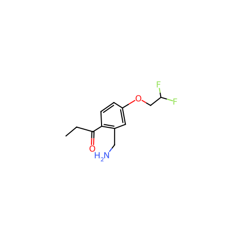 CCC(=O)c1ccc(OCC(F)F)cc1CN